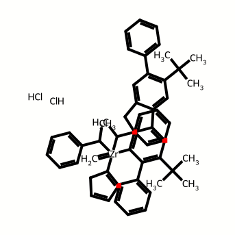 Cl.Cl.[CH2]=[Zr]([C]1=CC=CC1)([c]1c2c(cc(C(C)(C)C)c1-c1ccccc1)-c1cc(C(C)(C)C)c(-c3ccccc3)cc1C2)([CH](C)c1ccccc1)[CH](C)c1ccccc1